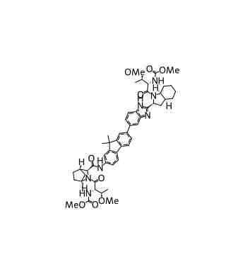 COC(=O)N[C@H](C(=O)N1[C@@H]2CC[C@@H](C2)[C@H]1C(=O)Nc1ccc2c(c1)C(C)(C)c1cc(-c3ccc4[nH]c([C@@H]5C[C@@H]6CCCC[C@@H]6N5C(=O)[C@@H](NC(=O)OC)[C@@H](C)OC)nc4c3)ccc1-2)[C@@H](C)OC